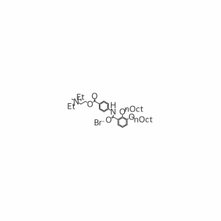 CCCCCCCCOc1cccc(C(=O)Nc2ccc(C(=O)OCC[N+](C)(CC)CC)cc2)c1OCCCCCCCC.[Br-]